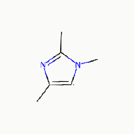 Cc1[c]n(C)c(C)n1